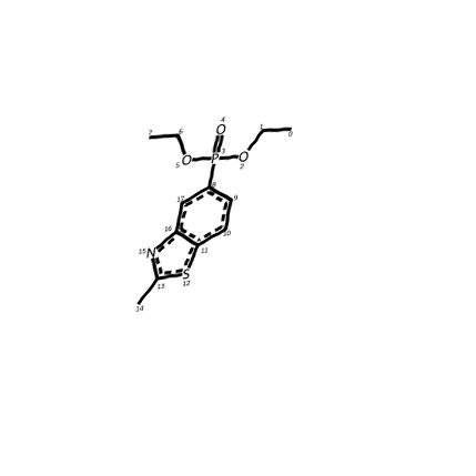 CCOP(=O)(OCC)c1ccc2sc(C)nc2c1